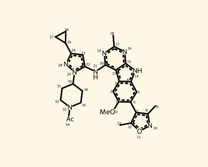 COc1cc2c(cc1-c1c(C)noc1C)[nH]c1nc(C)nc(Nc3cc(C4CC4)nn3C3CCN(C(C)=O)CC3)c12